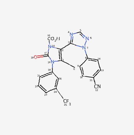 Cc1c(-c2ncnn2-c2ccc(C#N)cc2)n(C(=O)O)c(=O)n1-c1cccc(C(F)(F)F)c1